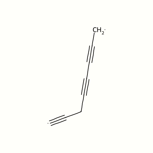 [C]#CCC#CC#C[CH2]